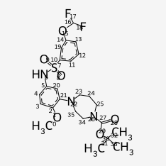 COc1ccc(NS(=O)(=O)c2cccc(OC(F)F)c2)cc1N1CCCN(C(=O)OC(C)(C)C)CC1